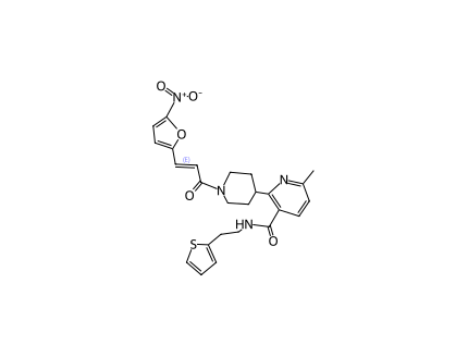 Cc1ccc(C(=O)NCCc2cccs2)c(C2CCN(C(=O)/C=C/c3ccc([N+](=O)[O-])o3)CC2)n1